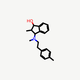 Cc1ccc(CCN(C)C2c3ccccc3C(O)C2C)cc1